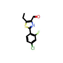 CCc1sc(-c2ccc(Cl)cc2F)nc1C=O